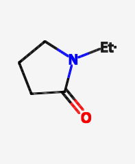 C[CH]N1CCCC1=O